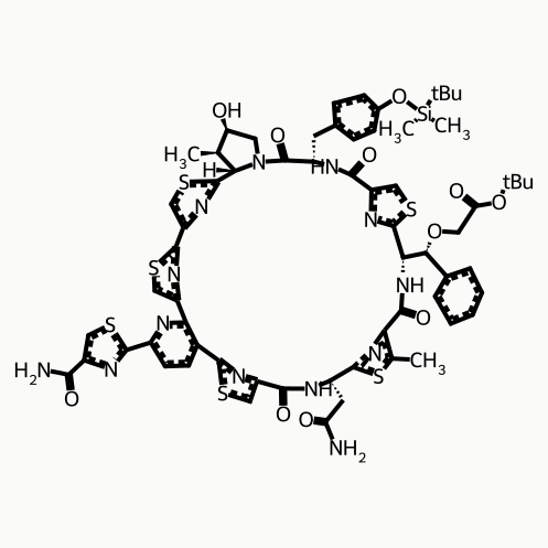 Cc1sc2nc1C(=O)N[C@@H]([C@H](OCC(=O)OC(C)(C)C)c1ccccc1)c1nc(cs1)C(=O)N[C@@H](Cc1ccc(O[Si](C)(C)C(C)(C)C)cc1)C(=O)N1C[C@H](O)[C@H](C)[C@H]1c1nc(cs1)-c1nc(cs1)-c1nc(-c3nc(C(N)=O)cs3)ccc1-c1nc(cs1)C(=O)N[C@H]2CC(N)=O